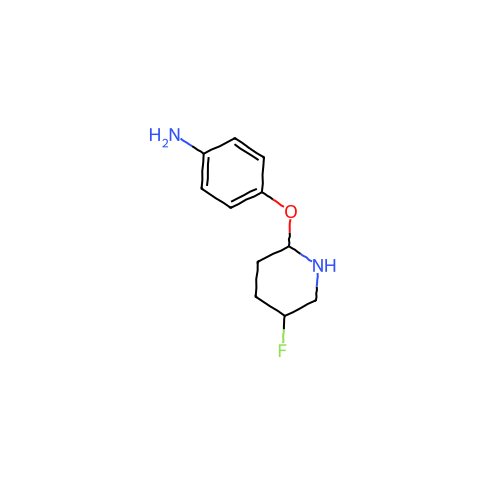 Nc1ccc(OC2CCC(F)CN2)cc1